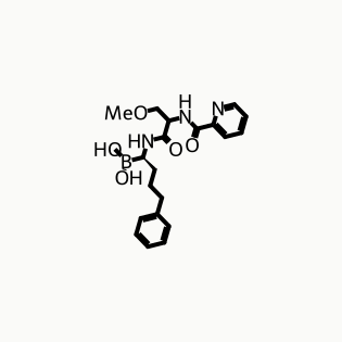 COCC(NC(=O)c1ccccn1)C(=O)N[C@@H](CCCc1ccccc1)B(O)O